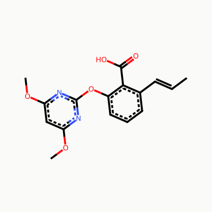 CC=Cc1cccc(Oc2nc(OC)cc(OC)n2)c1C(=O)O